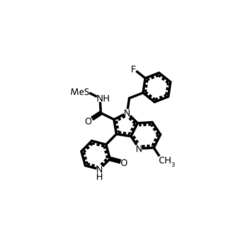 CSNC(=O)c1c(-c2ccc[nH]c2=O)c2nc(C)ccc2n1Cc1ccccc1F